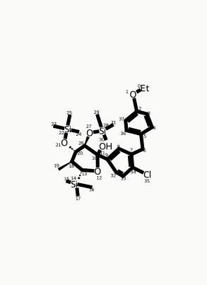 CCOc1ccc(Cc2cc(C3(O)O[C@H]([Si](C)(C)C)[C@@H](C)[C@H](O[Si](C)(C)C)[C@H]3O[Si](C)(C)C)ccc2Cl)cc1